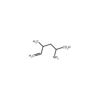 C=CC(C)CC(N)C(=O)O